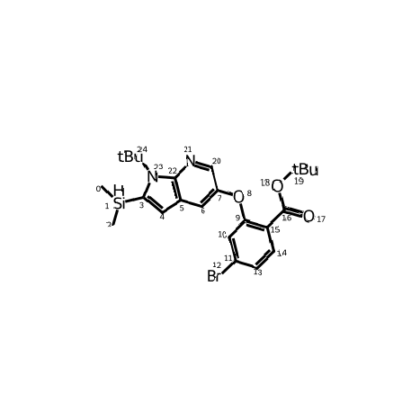 C[SiH](C)c1cc2cc(Oc3cc(Br)ccc3C(=O)OC(C)(C)C)cnc2n1C(C)(C)C